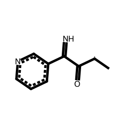 C[CH]C(=O)C(=N)c1cccnc1